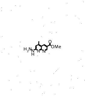 COC(=O)c1cnc2nc(NN)cc(C)c2c1